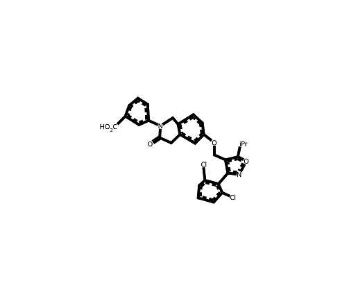 CC(C)c1onc(-c2c(Cl)cccc2Cl)c1COc1ccc2c(c1)CC(=O)N(c1cccc(C(=O)O)c1)C2